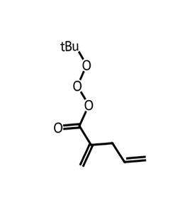 C=CCC(=C)C(=O)OOOC(C)(C)C